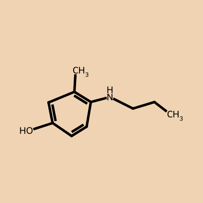 CCCNc1ccc(O)cc1C